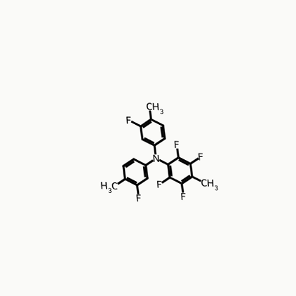 Cc1ccc(N(c2ccc(C)c(F)c2)c2c(F)c(F)c(C)c(F)c2F)cc1F